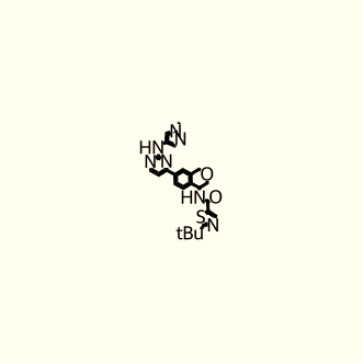 Cn1cc(Nc2nccc(-c3ccc4c(c3)COCC4NC(=O)c3cnc(C(C)(C)C)s3)n2)cn1